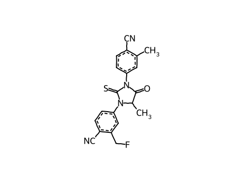 Cc1cc(N2C(=O)C(C)N(c3ccc(C#N)c(CF)c3)C2=S)ccc1C#N